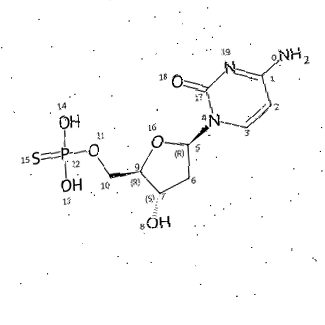 Nc1ccn([C@H]2C[C@H](O)[C@@H](COP(O)(O)=S)O2)c(=O)n1